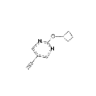 C#Cc1cnc(OC2CCC2)nc1